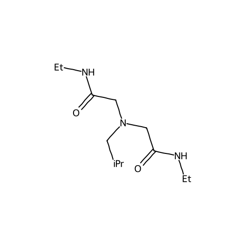 CCNC(=O)CN(CC(=O)NCC)CC(C)C